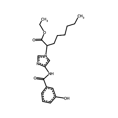 CCCCCCC(C(=O)OCC)n1cnc(NC(=O)c2cccc(O)c2)c1